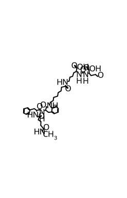 CNC(=O)CCCC(=O)NC(Cc1ccccc1)C(=O)NC(Cc1ccccc1)C(=O)NCCCCCCCC(=O)NCCCCC(NC(=O)NC(CCC=O)C(=O)O)C(=O)O